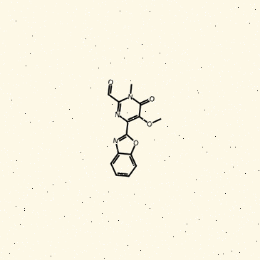 COc1c(-c2nc3ccccc3o2)nc(C=O)n(C)c1=O